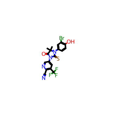 CC1(C)C(=O)N(c2cnc(C#N)c(C(F)(F)F)c2)C(=S)N1c1ccc(O)c(Br)c1